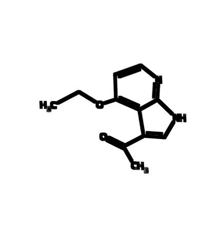 CCOc1ccnc2[nH]cc(C(C)=O)c12